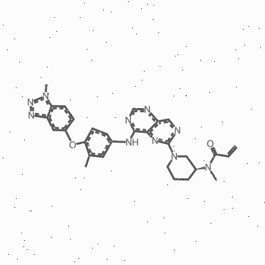 C=CC(=O)N(C)[C@H]1CCCN(c2ncc3ncnc(Nc4ccc(Oc5ccc6c(c5)nnn6C)c(C)c4)c3n2)C1